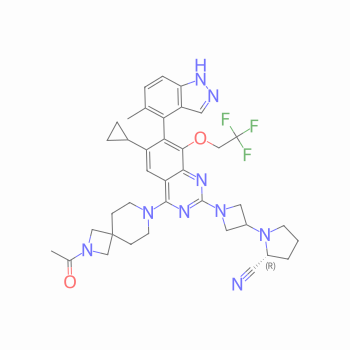 CC(=O)N1CC2(CCN(c3nc(N4CC(N5CCC[C@@H]5C#N)C4)nc4c(OCC(F)(F)F)c(-c5c(C)ccc6[nH]ncc56)c(C5CC5)cc34)CC2)C1